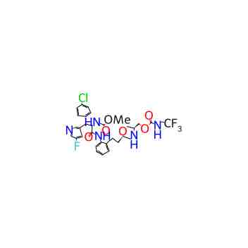 COC(=O)N[C@H](C(=O)Nc1ccccc1CC[C@@H]1CN[C@H](COC(=O)NCC(F)(F)F)CO1)[C@@H](c1ccc(Cl)cc1)c1cncc(F)c1